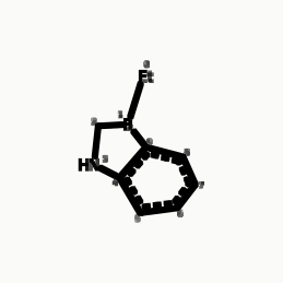 CCB1CNc2ccccc21